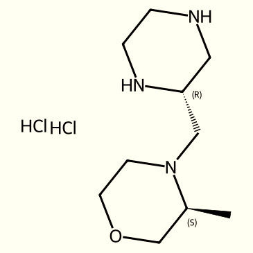 C[C@H]1COCCN1C[C@H]1CNCCN1.Cl.Cl